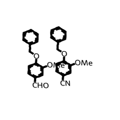 COc1cc(C#N)ccc1OCc1ccccc1.COc1cc(C=O)ccc1OCc1ccccc1